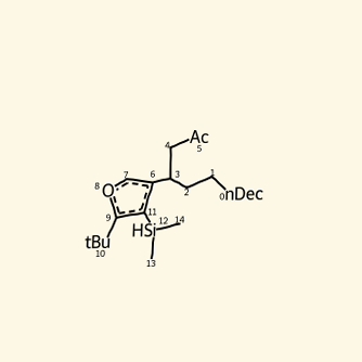 CCCCCCCCCCCCC(CC(C)=O)c1coc(C(C)(C)C)c1[SiH](C)C